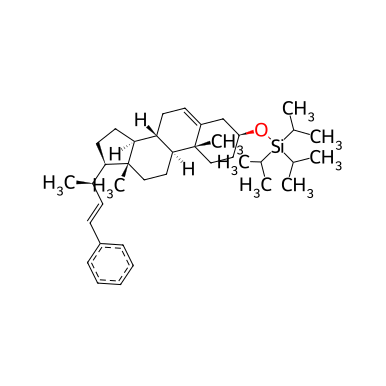 CC(C)[Si](O[C@H]1CC[C@@]2(C)C(=CC[C@H]3[C@@H]4CC[C@H]([C@H](C)/C=C/c5ccccc5)[C@@]4(C)CC[C@@H]32)C1)(C(C)C)C(C)C